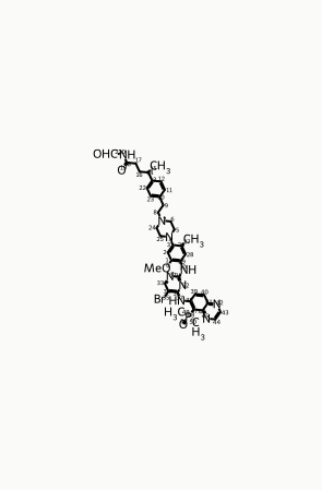 COc1cc(N2CCN(CCc3ccc(C(C)CCC(=O)NC=O)cc3)CC2)c(C)cc1Nc1ncc(Br)c(Nc2ccc3nccnc3c2P(C)(C)=O)n1